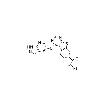 CCN(C)C(=O)[C@H]1CCc2c(sc3ncnc(Nc4cnc5[nH]ncc5c4)c23)C1